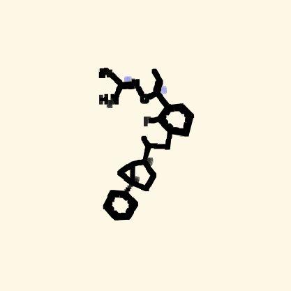 C/C=C(\O/N=C(\N)C(C)C)c1cccc(CC(C)[C@H]2CC[C@@]3(c4ccccc4)CC23)c1F